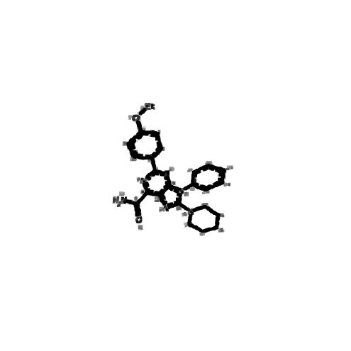 CCOc1ccc(-c2nc(C(N)=O)c3nc(N4CCCCC4)n(-c4ccccc4)c3n2)cc1